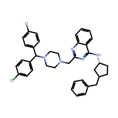 Clc1ccc(C(c2ccc(Cl)cc2)N2CCN(Cc3nc(N[C@@H]4CCC(Cc5ccccc5)C4)c4ccccc4n3)CC2)cc1